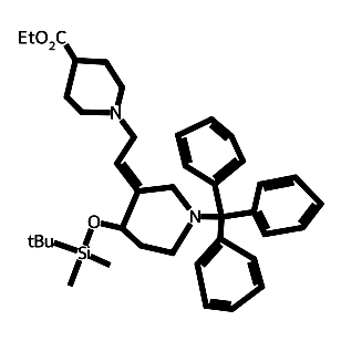 CCOC(=O)C1CCN(C/C=C2\CN(C(c3ccccc3)(c3ccccc3)c3ccccc3)CCC2O[Si](C)(C)C(C)(C)C)CC1